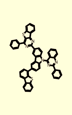 c1ccc(-c2nc(-n3c4ccc(-c5nc(-c6ccccc6)c6sc7ccccc7c6n5)cc4c4cc(-c5cccc6c5sc5ccccc56)ccc43)c3ccccc3n2)cc1